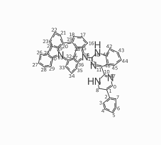 C1=C(c2ccccc2)CNC(C2=NC(n3c4cccc5c6cccc7c8ccccc8n(c8cccc3c8c54)c67)Nc3ccccc32)=N1